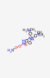 CN(C)c1ccc(-c2nc(-c3ccccc3)n(Cc3ccc(C(=O)NCCOCCOCCN)cc3)c2-c2ccc(N(C)C)cc2)cc1